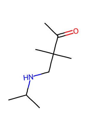 CC(=O)C(C)(C)CNC(C)C